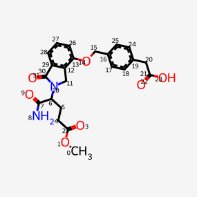 COC(=O)CCC(C(N)=O)N1Cc2c(OCc3ccc(CC(=O)O)cc3)cccc2C1=O